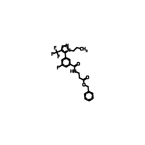 CCCn1ncc(C(F)(F)F)c1-c1cc(F)cc(C(=O)NCCC(=O)OCc2ccccc2)c1